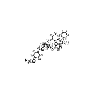 O[C@](c1ccccc1)(c1ncc(C[N+]23CCC(CC2)[C@@H](OCc2ccc(OC(F)(F)F)cc2)C3)o1)C1CCCCC1